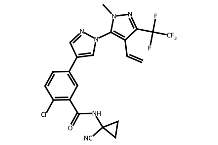 C=Cc1c(C(F)(F)C(F)(F)F)nn(C)c1-n1cc(-c2ccc(Cl)c(C(=O)NC3(C#N)CC3)c2)cn1